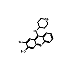 Oc1cc2nc3ccccc3c(NC3CCNCC3)c2cc1O